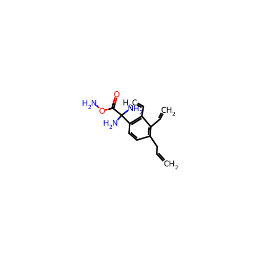 C=CCc1ccc(C(N)(N)C(=O)ON)c(C=C)c1C=C